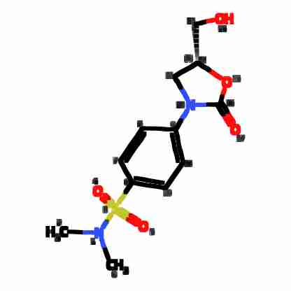 CN(C)S(=O)(=O)c1ccc(N2C[C@H](CO)OC2=O)cc1